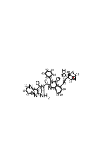 CC(NC(=O)c1c(N)nn2cccnc12)c1nc2cccc(C#CC3(O)CN4CCC3CC4)c2c(=O)n1-c1ccccc1